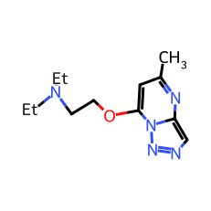 CCN(CC)CCOc1cc(C)nc2cnnn12